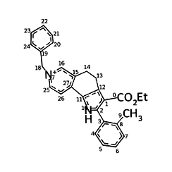 CCOC(=O)c1c(-c2ccccc2C)[nH]c2c1CCc1c[n+](Cc3ccccc3)ccc1-2